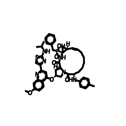 COc1ccc2c(O[C@@H]3C[C@H]4C(=O)N[C@]5(P(=O)(O)Cc6ccccc6)C[C@H]5/C=C\CCCCC[C@H](Nc5ccc(C)cc5)C(=O)N4C3)cc(-c3csc(NC(C)C)n3)nc2c1